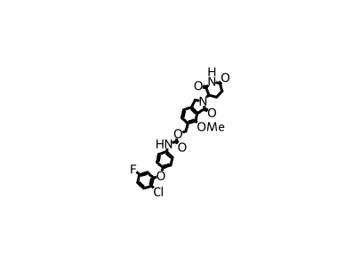 COc1c(COC(=O)Nc2ccc(Oc3cc(F)ccc3Cl)cc2)ccc2c1C(=O)N(C1CCC(=O)NC1=O)C2